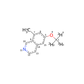 [2H]C([2H])([2H])Oc1cc(C)c2cnccc2c1